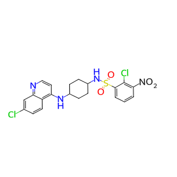 O=[N+]([O-])c1cccc(S(=O)(=O)NC2CCC(Nc3ccnc4cc(Cl)ccc34)CC2)c1Cl